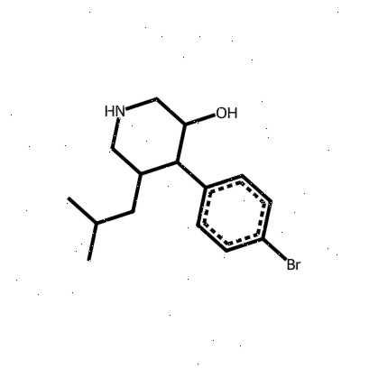 CC(C)CC1CNCC(O)C1c1ccc(Br)cc1